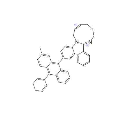 Cc1ccc2c(C3=CCCC=C3)c3ccccc3c(-c3ccc(N4C/C=C\CCC/N=C\4c4ccccc4)cc3)c2c1